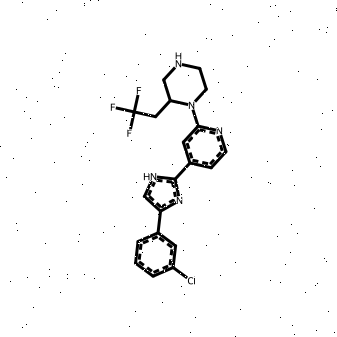 FC(F)(F)CC1CNCCN1c1cc(-c2nc(-c3cccc(Cl)c3)c[nH]2)ccn1